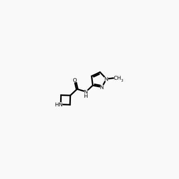 Cn1ccc(NC(=O)C2CNC2)n1